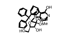 COO[C@]1(OC)[C@H](O)[C@@H](CO)O[C@]1(n1cnc2c(O)ncnc21)C(c1ccccc1)(c1ccccc1)c1ccccc1